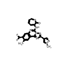 Cc1cc2c(cc1C(F)F)nc(Nc1ccccnc1=O)n1nc(-c3cnn(C)c3)nc21